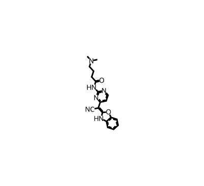 CN(C)CCCC(=O)Nc1nccc(/C(C#N)=C2/Nc3ccccc3O2)n1